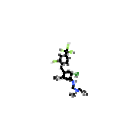 CCN(C)C=Nc1cc(C)c(Cc2ccc(C(F)(F)F)cc2F)cc1Cl